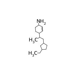 CCC1CCC(CC(C)C2C=CC(N)CC2)C1